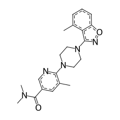 Cc1cc(C(=O)N(C)C)cnc1N1CCN(c2noc3cccc(C)c23)CC1